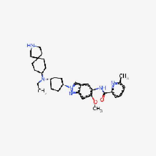 CCN(C1CCC2(CCNCC2)CC1)[C@H]1CC[C@H](n2cc3cc(NC(=O)c4cccc(C)n4)c(OC)cc3n2)CC1